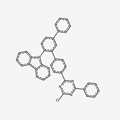 Clc1nc(-c2ccccc2)nc(-c2ccc(-c3cc(-c4ccccc4)ccc3-n3c4ccccc4c4ccccc43)cc2)n1